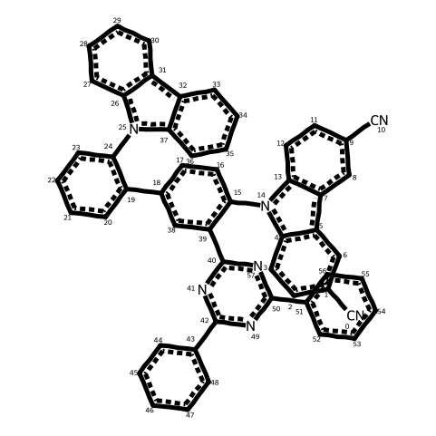 N#Cc1ccc2c(c1)c1cc(C#N)ccc1n2-c1ccc(-c2ccccc2-n2c3ccccc3c3ccccc32)cc1-c1nc(-c2ccccc2)nc(-c2ccccc2)n1